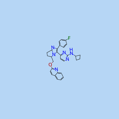 Fc1ccc(-c2nc3n(c2-c2ccnc(NC4CCC4)n2)C(COc2ccc4ccccc4n2)CC3)cc1